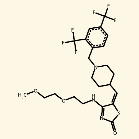 COCCOCCNC1=NC(=O)SC1=CC1CCN(Cc2ccc(C(F)(F)F)cc2C(F)(F)F)CC1